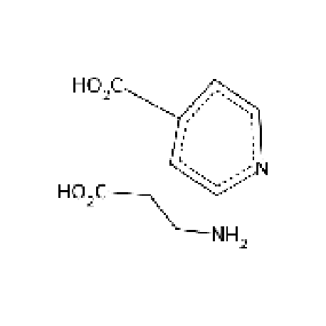 NCCC(=O)O.O=C(O)c1ccncc1